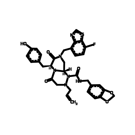 C=CCN1CC(=O)N2[C@@H](Cc3ccc(O)cc3)C(=O)N(Cc3ccc(F)c4scnc34)C[C@@H]2N1C(=O)NCc1ccc2c(c1)OCO2